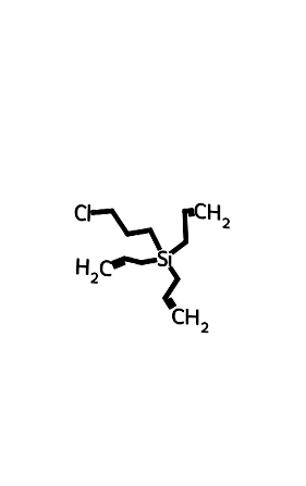 C=CC[Si](CC=C)(CC=C)CCCCl